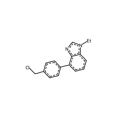 CCn1cnc2c(-c3ccc(CCl)cc3)cccc21